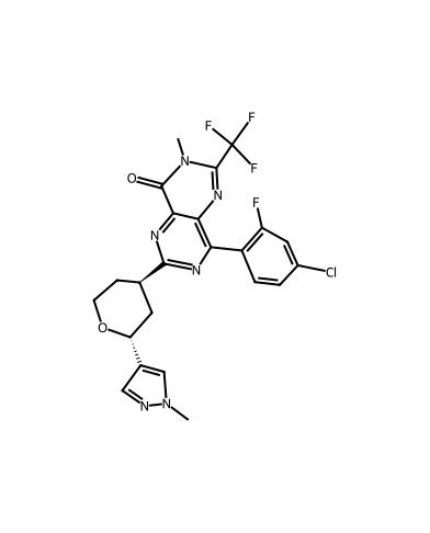 Cn1cc([C@H]2C[C@H](c3nc(-c4ccc(Cl)cc4F)c4nc(C(F)(F)F)n(C)c(=O)c4n3)CCO2)cn1